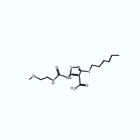 CCCCCCSc1nsc(NC(=O)NCCOC)c1C(N)=O